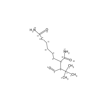 CC(C)(C)C(C=O)C(CCCCCC(N)=O)C(N)=O